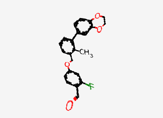 Cc1c(COc2ccc(C=O)c(F)c2)cccc1-c1ccc2c(c1)OCCO2